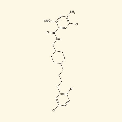 COc1cc(N)c(Cl)cc1C(=O)NCC1CCN(C[CH]COc2cc(Cl)ccc2Cl)CC1